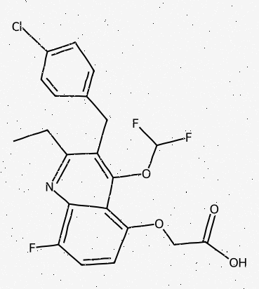 CCc1nc2c(F)ccc(OCC(=O)O)c2c(OC(F)F)c1Cc1ccc(Cl)cc1